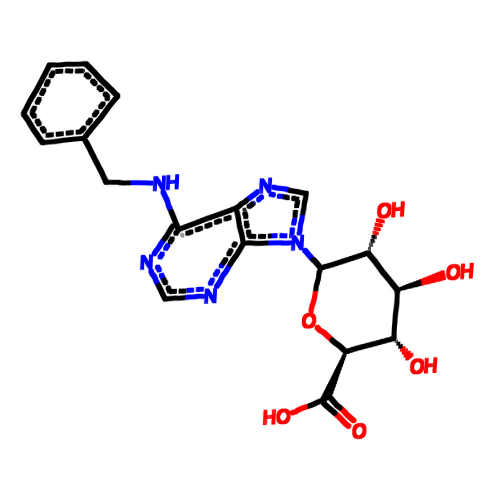 O=C(O)[C@H]1OC(n2cnc3c(NCc4ccccc4)ncnc32)[C@H](O)[C@@H](O)[C@@H]1O